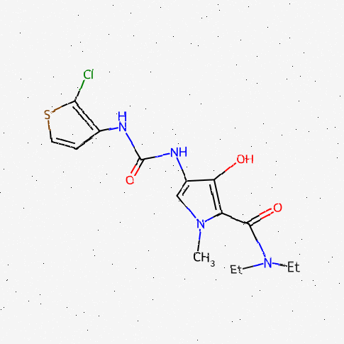 CCN(CC)C(=O)c1c(O)c(NC(=O)Nc2ccsc2Cl)cn1C